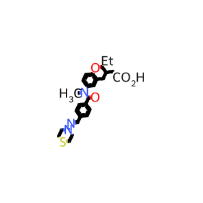 CCC1Oc2ccc(N(C)C(=O)c3ccc(C=NN4CCSCC4)cc3)cc2CC1CC(=O)O